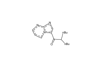 CCCCC(CCCC)C(=O)c1cnc2ncccn12